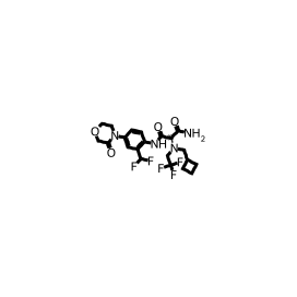 NC(=O)[C@@H](C(=O)Nc1ccc(N2CCOCC2=O)cc1C(F)F)N(CC1CCC1)CC(F)(F)F